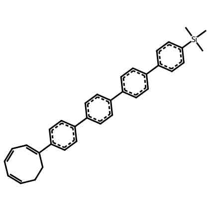 C[Si](C)(C)c1ccc(-c2ccc(-c3ccc(-c4ccc(/C5=C/C=C\C=C/CC5)cc4)cc3)cc2)cc1